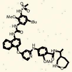 COc1cc(Nc2cc(Oc3ccc(NC(=O)Nc4cc(C(C)(C)C)cc(NS(C)(=O)=O)c4OC)c4ccccc34)ccn2)ccc1C(=O)NC(C)C1CCCONC1